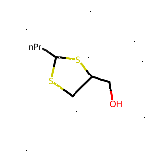 CCCC1SCC(CO)S1